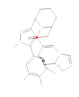 Cn1nc2c(c1-c1cc(F)c(F)c(F)c1)C[C@@H]1CCC[C@H]2N1C(=O)c1ccc2cncn2c1